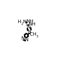 C[C@H](c1ccc2nccnc2c1)N1CCN(C(=N)SC(=N)N)CC1